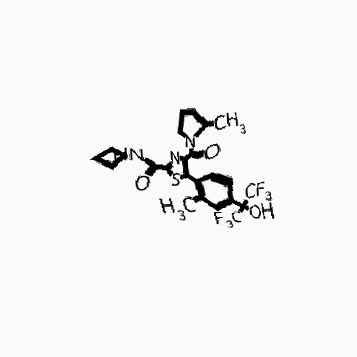 Cc1cc(C(O)(C(F)(F)F)C(F)(F)F)ccc1-c1sc(C(=O)NC2CCC2)nc1C(=O)N1CCCC1C